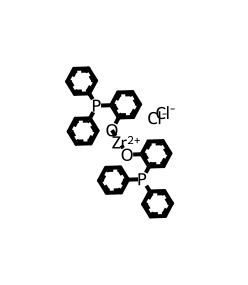 [Cl-].[Cl-].c1ccc(P(c2ccccc2)c2ccccc2[O][Zr+2][O]c2ccccc2P(c2ccccc2)c2ccccc2)cc1